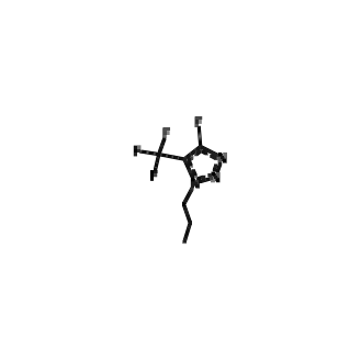 CCCn1nnc(F)c1C(F)(F)F